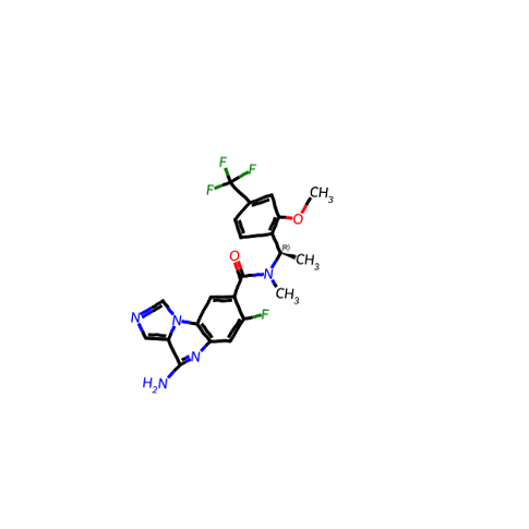 COc1cc(C(F)(F)F)ccc1[C@@H](C)N(C)C(=O)c1cc2c(cc1F)nc(N)c1cncn12